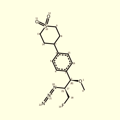 CO[C@H](c1ccc(C2CCS(=O)(=O)CC2)cc1)[C@@H](CF)N=[N+]=[N-]